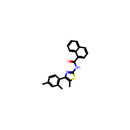 Cc1ccc(-c2nc(NC(=O)c3cccc4ccccc34)sc2C)c(C)c1